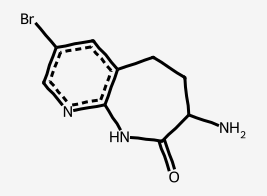 NC1CCc2cc(Br)cnc2NC1=O